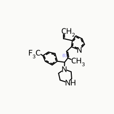 C=Cc1cccnc1/C=C(\C)C(c1ccc(C(F)(F)F)cc1)N1CCNCC1